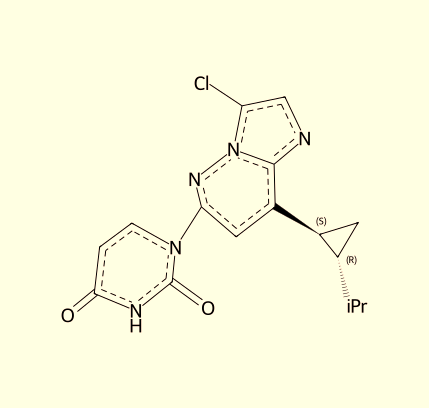 CC(C)[C@H]1C[C@@H]1c1cc(-n2ccc(=O)[nH]c2=O)nn2c(Cl)cnc12